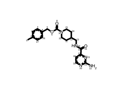 Cc1ccc(COC(=O)N2CCC(CNC(=O)c3ccnc(N)n3)CC2)cc1